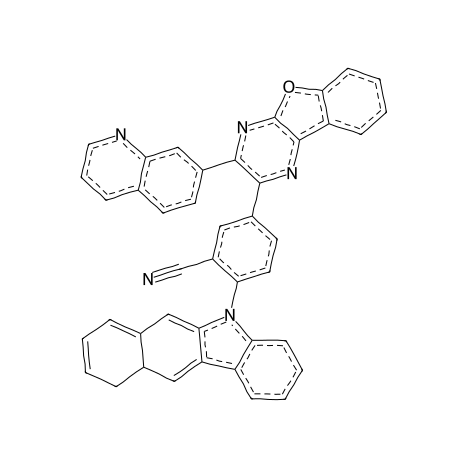 N#Cc1cc(-c2nc3c(nc2-c2ccc4cccnc4c2)oc2ccccc23)ccc1-n1c2c(c3ccccc31)=CC1CC=CC=C1C=2